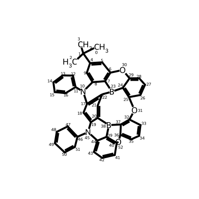 CC(C)(C)c1cc2c3c(c1)N(c1ccccc1)c1cc4c5cc1B3c1c(cccc1O2)Oc1cccc2c1B5c1c(cccc1N4c1ccccc1)O2